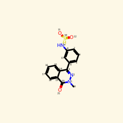 Cn1nc(-c2cccc(N[SH](=O)=O)c2)c2ccccc2c1=O